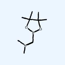 CN(C)CB1OC(C)(C)C(C)(C)O1